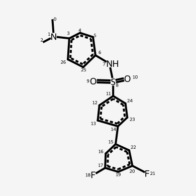 CN(C)c1ccc(NS(=O)(=O)c2ccc(-c3cc(F)cc(F)c3)cc2)cc1